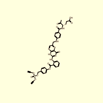 C#COP(=O)(OC#C)OCc1ccc(OC(=O)c2ccccc2Nc2nc(=O)c3nc(CNc4ccc(C(=O)N[C@@H](CCC(=O)O)C(C)=O)cc4)cnc3[nH]2)cc1